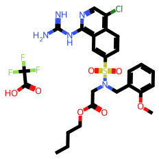 CCCCOC(=O)CN(Cc1ccccc1OC)S(=O)(=O)c1ccc2c(Cl)cnc(NC(=N)N)c2c1.O=C(O)C(F)(F)F